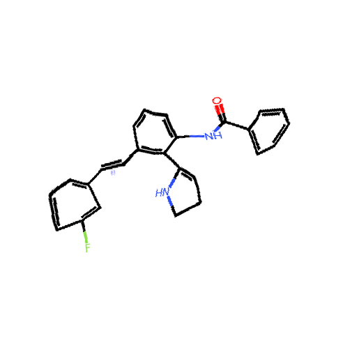 O=C(Nc1cccc(/C=C/c2cccc(F)c2)c1C1=CCCN1)c1ccccc1